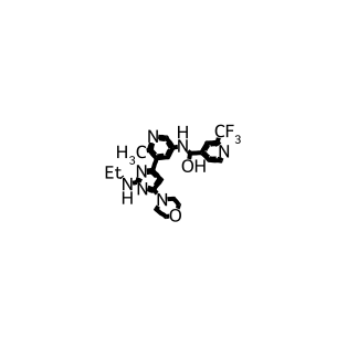 CCNc1nc(-c2cc(NC(O)c3ccnc(C(F)(F)F)c3)cnc2C)cc(N2CCOCC2)n1